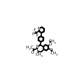 COc1cc2c(cc1OC)C(c1ccc(-c3cccnc3C(F)(F)F)cc1)=NN(C(C)=O)C(C)C2